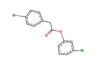 O=C(Cc1ccc(Br)cc1)Oc1cccc(Br)c1